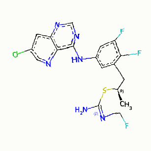 C[C@H](Cc1cc(Nc2ncnc3cc(Cl)cnc23)cc(F)c1F)S/C(N)=N\CF